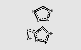 O=S(=O)(O)O.c1nnn[nH]1.c1nnn[nH]1